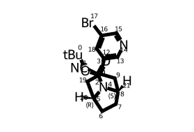 CC(C)(C)OC(=O)N1[C@@H]2CC[C@H]1C[C@@](C#N)(c1cncc(Br)c1)C2